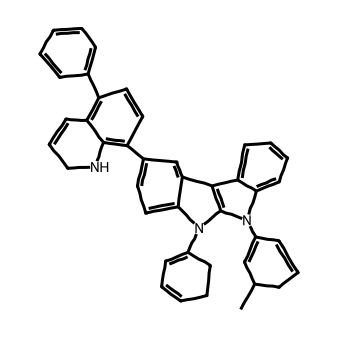 CC1C=C(n2c3ccccc3c3c4cc(-c5ccc(-c6ccccc6)c6c5NCC=C6)ccc4n(C4=CC=CCC4)c32)C=CC1